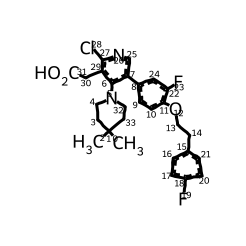 CC1(C)CCN(c2c(-c3ccc(OCCc4ccc(F)cc4)c(F)c3)cnc(Cl)c2CC(=O)O)CC1